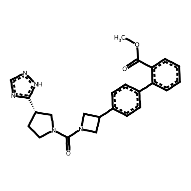 COC(=O)c1ccccc1-c1ccc(C2CN(C(=O)N3CC[C@H](c4ncn[nH]4)C3)C2)cc1